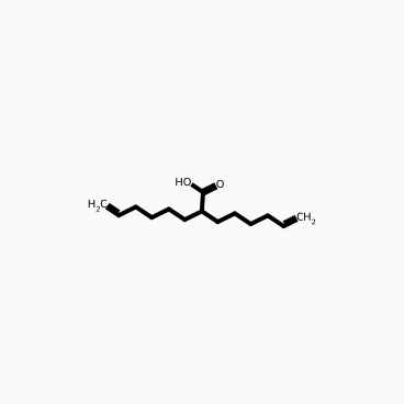 C=CCCCCC(CCCCC=C)C(=O)O